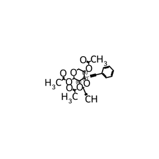 C#CCO[C@]1(C#Cc2ccccc2)[C@H](OC(C)=O)COC(OC(C)=O)[C@@H]1OC(C)=O